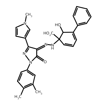 Cc1ccc(N2N=C(c3ccn(C)c3)C(=NNC3(C(=O)O)C=CC=C(c4ccccc4)C3O)C2=O)cc1C